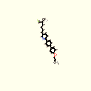 C=CCOc1ccc(-c2ccc(-c3ccc(C=CCCC(C)CF)cn3)cc2)cc1